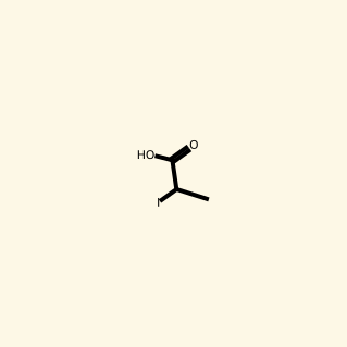 CC(I)C(=O)O